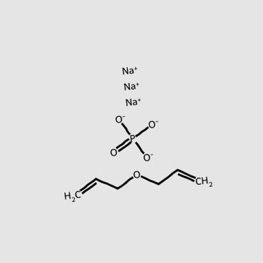 C=CCOCC=C.O=P([O-])([O-])[O-].[Na+].[Na+].[Na+]